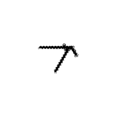 CCCCCCCCC=CCCCCCCCC(=O)OCC(C[N+](C)(C)CCOCCBr)OC(=O)CCCCCCCC=CCCCCCCCC